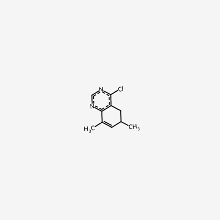 CC1=CC(C)Cc2c(Cl)ncnc21